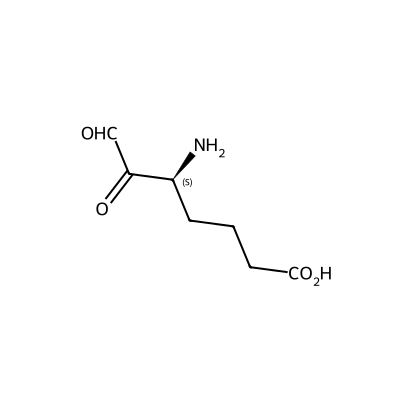 N[C@@H](CCCC(=O)O)C(=O)C=O